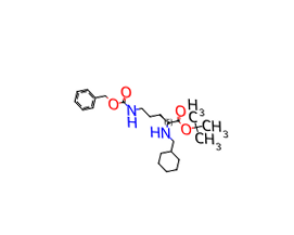 CC(C)(C)OC(=O)[C@H](CCCNC(=O)OCc1ccccc1)NCC1CCCCC1